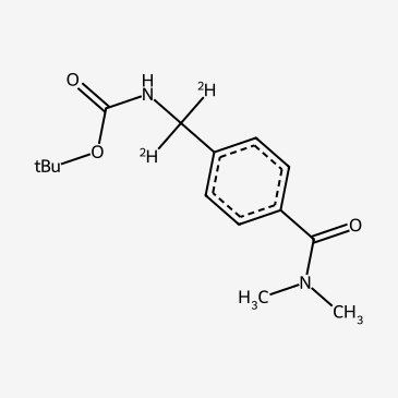 [2H]C([2H])(NC(=O)OC(C)(C)C)c1ccc(C(=O)N(C)C)cc1